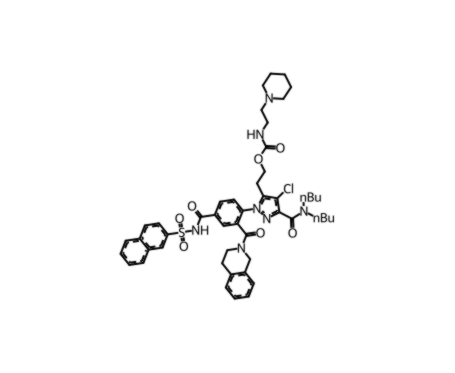 CCCCN(CCCC)C(=O)c1nn(-c2ccc(C(=O)NS(=O)(=O)c3ccc4ccccc4c3)cc2C(=O)N2CCc3ccccc3C2)c(CCOC(=O)NCCN2CCCCC2)c1Cl